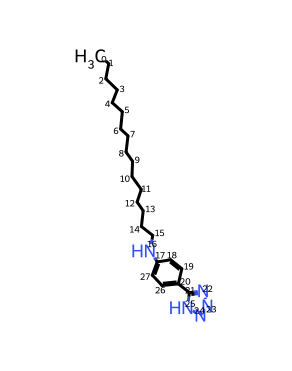 CCCCCCCCCCCCCCCCNc1ccc(-c2nnn[nH]2)cc1